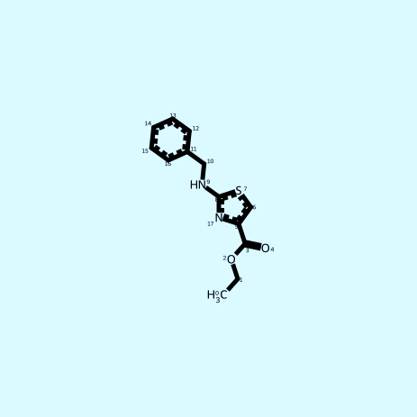 CCOC(=O)c1csc(NCc2ccccc2)n1